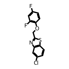 Fc1ccc(OCc2nc3cc(Cl)ccc3s2)c(F)c1